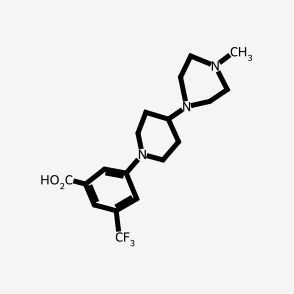 CN1CCN(C2CCN(c3cc(C(=O)O)cc(C(F)(F)F)c3)CC2)CC1